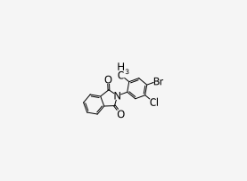 Cc1cc(Br)c(Cl)cc1N1C(=O)c2ccccc2C1=O